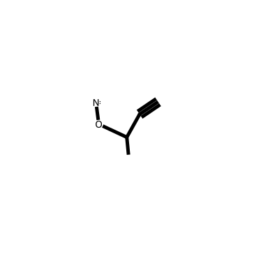 C#CC(C)O[N]